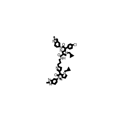 Cc1nc2ccc(-n3nc4ccn(CC5CC5)c4c(-c4ccc(CCCNC(=O)c5cn(CC6CC6)c6c(-c7ccc(Cl)cc7)c(=O)n(-c7ccc8nn(C)cc8c7)nc56)nc4)c3=O)cc2n1C